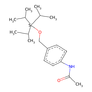 CC(=O)Nc1ccc(CO[Si](C(C)C)(C(C)C)C(C)C)cc1